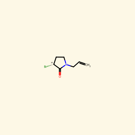 C=CCN1CC[C@@H](Br)C1=O